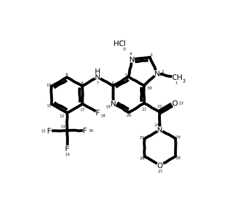 Cl.Cn1cnc2c(Nc3cccc(C(F)(F)F)c3F)ncc(C(=O)N3CCOCC3)c21